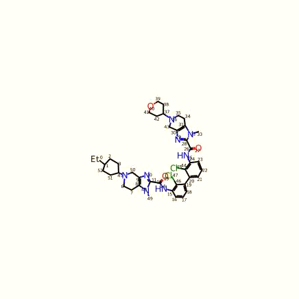 CCC1CCC(N2CCc3c(nc(C(=O)Nc4cccc(-c5cccc(NC(=O)c6nc7c(n6C)CCN(C6CCOCC6)C7)c5Cl)c4Cl)n3C)C2)CC1